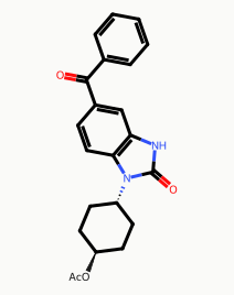 CC(=O)O[C@H]1CC[C@H](n2c(=O)[nH]c3cc(C(=O)c4ccccc4)ccc32)CC1